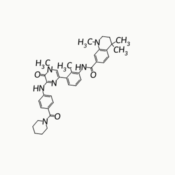 Cc1c(NC(=O)c2ccc3c(c2)N(C)CCC3(C)C)cccc1-c1cn(C)c(=O)c(Nc2ccc(C(=O)N3CCCCC3)cc2)n1